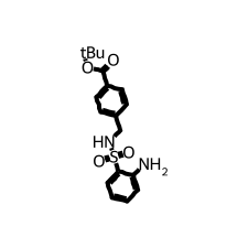 CC(C)(C)OC(=O)c1ccc(CNS(=O)(=O)c2ccccc2N)cc1